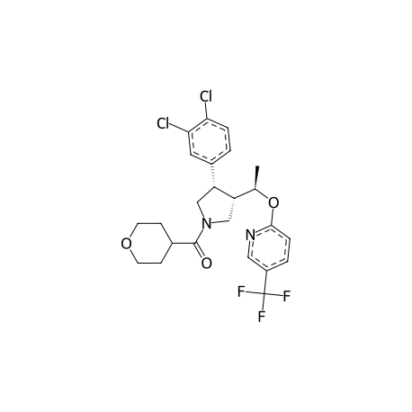 C[C@@H](Oc1ccc(C(F)(F)F)cn1)[C@@H]1CN(C(=O)C2CCOCC2)C[C@@H]1c1ccc(Cl)c(Cl)c1